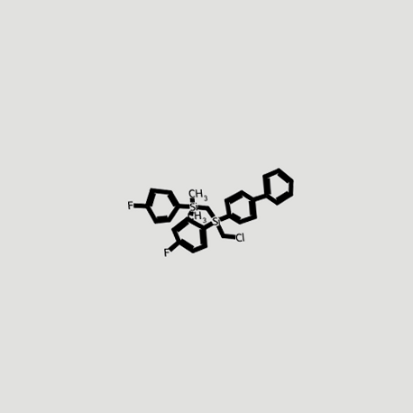 C[Si](C)(C[Si](CCl)(c1ccc(F)cc1)c1ccc(-c2ccccc2)cc1)c1ccc(F)cc1